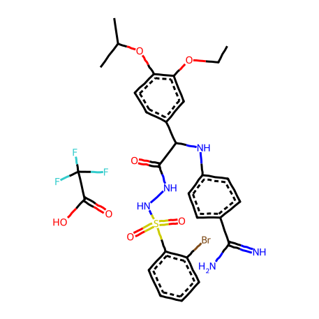 CCOc1cc(C(Nc2ccc(C(=N)N)cc2)C(=O)NNS(=O)(=O)c2ccccc2Br)ccc1OC(C)C.O=C(O)C(F)(F)F